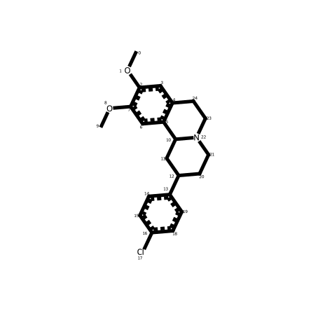 COc1cc2c(cc1OC)C1CC(c3ccc(Cl)cc3)CCN1CC2